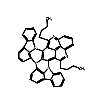 CCCCc1nc2cccc3nc(CCCC)c4c5c6c(c1c4c23)-n1c2ccccc2c2cccc(c21)B6c1cccc2c3ccccc3n-5c12